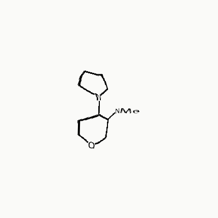 CNC1COCCC1N1CCCC1